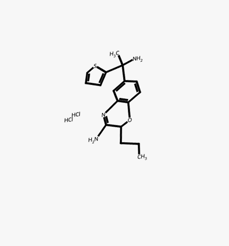 CCCC1Oc2ccc(C(C)(N)c3cccs3)cc2N=C1N.Cl.Cl